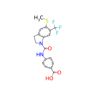 CSc1cc2c(cc1C(F)(F)F)N(C(=O)Nc1ccc(C(=O)O)cc1)CC2